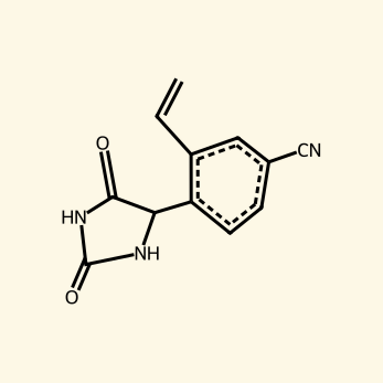 C=Cc1cc(C#N)ccc1C1NC(=O)NC1=O